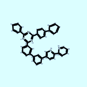 c1ccc(-c2ccc(-c3nc(-c4ccccc4)nc(-c4cccc(-c5cccc(-c6ccc(-c7ccccn7)nc6)c5)c4)n3)cc2)cc1